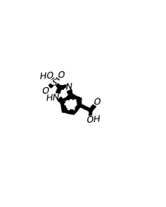 O=C(O)c1ccc2[nH]c(S(=O)(=O)O)nc2c1